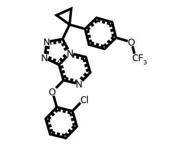 FC(F)(F)Oc1ccc(C2(c3nnc4c(Oc5ccccc5Cl)nccn34)CC2)cc1